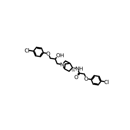 O=C(COc1ccc(Cl)cc1)N[C@H]1CC2CC1CN2CC(O)COc1ccc(Cl)cc1